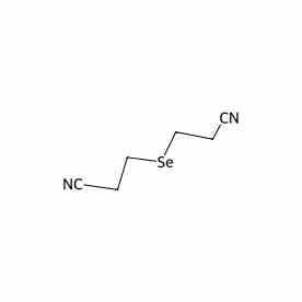 N#CCC[Se]CCC#N